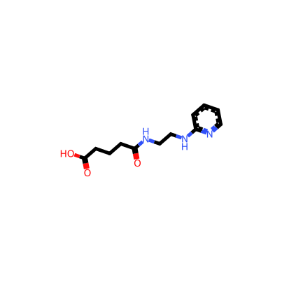 O=C(O)CCCC(=O)NCCNc1ccccn1